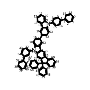 c1ccc(-c2ccc(-n3c4ccccc4c4cc(-c5ccc6c(c5)c5cc7c(cc5n6-c5cccc(-c6ccccc6)c5)C(c5ccccc5)(c5ccccc5)c5ccccc5-7)ccc43)cc2)cc1